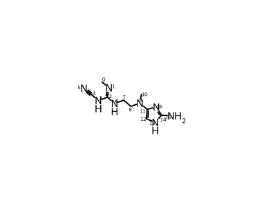 CN=C(NC#N)NCCN(C)c1c[nH]c(N)n1